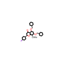 COc1c(OCc2ccccc2)cc(OCc2ccccc2)c2c(=O)cc(-c3ccc(I)cc3)oc12